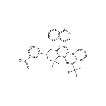 CC1(C)CC(c2cccc([N+](=O)[O-])c2)Cc2ccc3c(cc(C(F)(F)F)c4ccccc43)c21.c1ccc2ncccc2c1